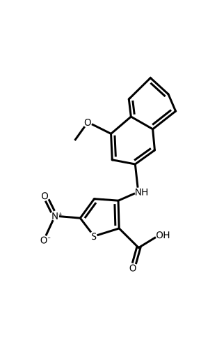 COc1cc(Nc2cc([N+](=O)[O-])sc2C(=O)O)cc2ccccc12